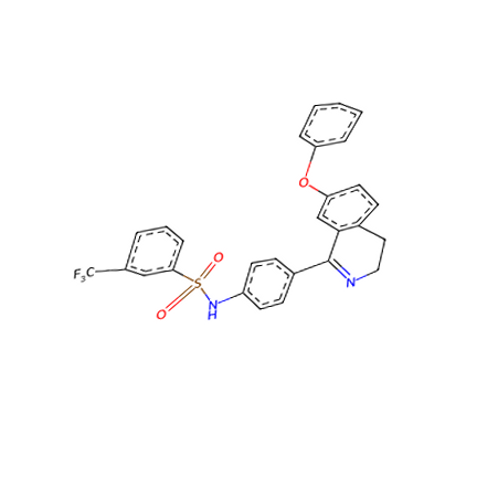 O=S(=O)(Nc1ccc(C2=NCCc3ccc(Oc4ccccc4)cc32)cc1)c1cccc(C(F)(F)F)c1